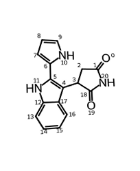 O=C1CC(c2c(-c3ccc[nH]3)[nH]c3ccccc23)C(=O)N1